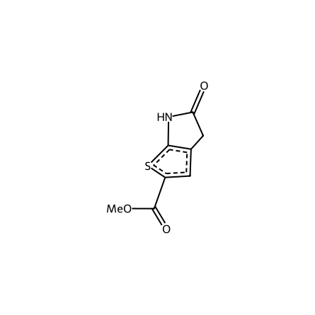 COC(=O)c1cc2c(s1)NC(=O)C2